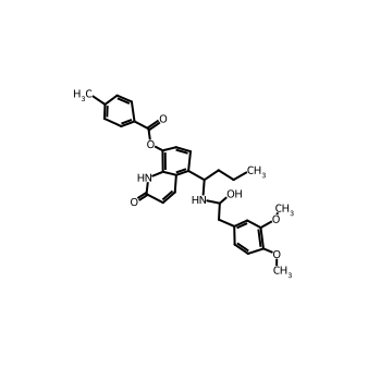 CCCC(NC(O)Cc1ccc(OC)c(OC)c1)c1ccc(OC(=O)c2ccc(C)cc2)c2[nH]c(=O)ccc12